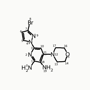 Nc1nc(-n2ccc(Br)n2)cc(N2CCOCC2)c1N